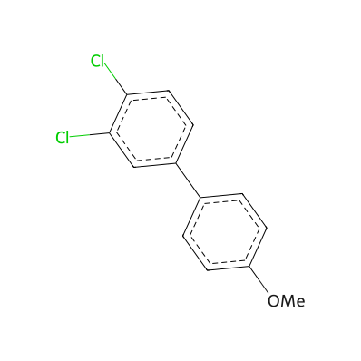 [CH2]Oc1ccc(-c2ccc(Cl)c(Cl)c2)cc1